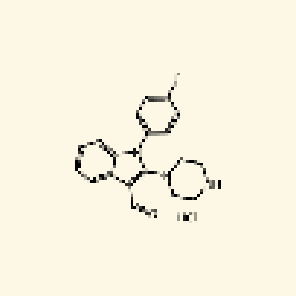 Cl.O=Cc1c(N2CCNCC2)n(-c2ccc(F)cc2)c2ccccc12